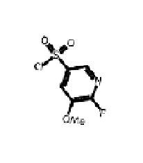 COc1cc(S(=O)(=O)Cl)cnc1F